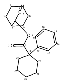 O=C(OC1CN2CCC1CC2)C1(c2ccccc2)CCCCC1